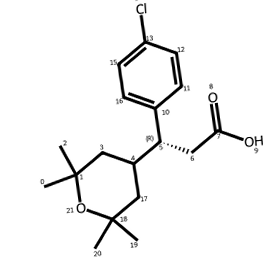 CC1(C)CC([C@@H](CC(=O)O)c2ccc(Cl)cc2)CC(C)(C)O1